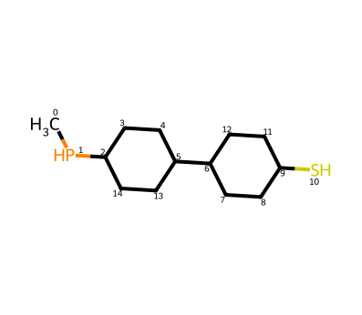 CPC1CCC(C2CCC(S)CC2)CC1